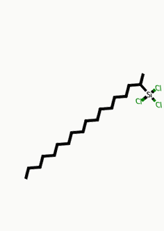 CCCCCCCCCCCCCCCCC(C)[Si](Cl)(Cl)Cl